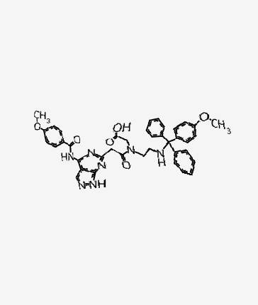 COc1ccc(C(=O)Nc2nc(CC(=O)N(CCNC(c3ccccc3)(c3ccccc3)c3ccc(OC)cc3)CC(=O)O)nc3[nH]ncc23)cc1